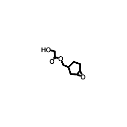 O=C(CO)OCC1CCC2OC2C1